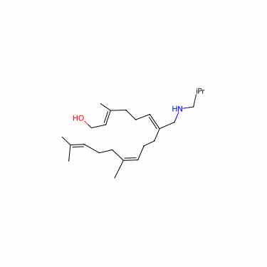 CC(C)=CCCC(C)=CCCC(=CCCC(C)=CCO)CNCC(C)C